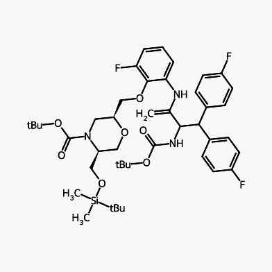 C=C(Nc1cccc(F)c1OC[C@@H]1CN(C(=O)OC(C)(C)C)[C@H](CO[Si](C)(C)C(C)(C)C)CO1)C(NC(=O)OC(C)(C)C)C(c1ccc(F)cc1)c1ccc(F)cc1